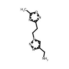 Cc1nc(CCn2cc(CN)nn2)no1